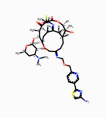 CCC(=O)/N=C1\[C@H](C)C[C@@]2(C)OC/C(=N/COCc3ccc(-c4nc(N)cs4)cn3)CC[C@H]([C@H]1C)[C@](C)(O)[C@@H](CC)OC(=O)[C@@](C)(F)C(=O)[C@H](C)[C@H]2O[C@@H]1O[C@H](C)C[C@H](N(C)C)[C@H]1OC(C)=O